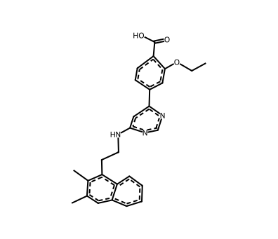 CCOc1cc(-c2cc(NCCc3c(C)c(C)cc4ccccc34)ncn2)ccc1C(=O)O